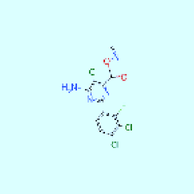 C=NOC(=O)c1nc(-c2ccc(Cl)c(Cl)c2F)nc(N)c1Cl